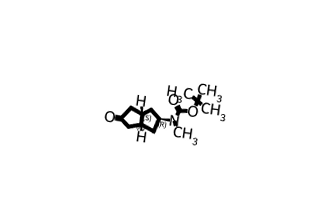 CN(C(=O)OC(C)(C)C)[C@@H]1C[C@H]2CC(=O)C[C@H]2C1